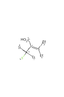 CCC(CC)=C(C(=O)O)C(F)(CC)CC